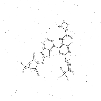 Cc1nc(C#N)cc(-c2ccnc3cc(CN4C(=O)C5C(C4=O)C5(C)C)sc23)c1NC(=O)C1CCN1.O=C(O)C(F)(F)F